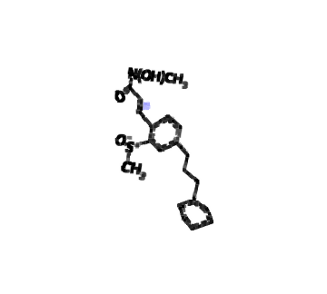 CN(O)C(=O)/C=C/c1ccc(CCCc2ccccc2)cc1[S+](C)[O-]